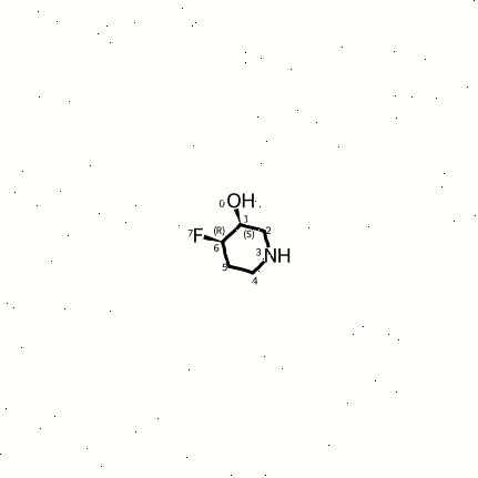 O[C@H]1CNCC[C@H]1F